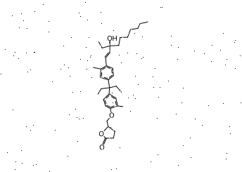 CCCCCCC[C@](O)(/C=C/c1ccc(C(CC)(CC)c2ccc(OCC3CCC(=O)O3)c(C)c2)cc1C)CC